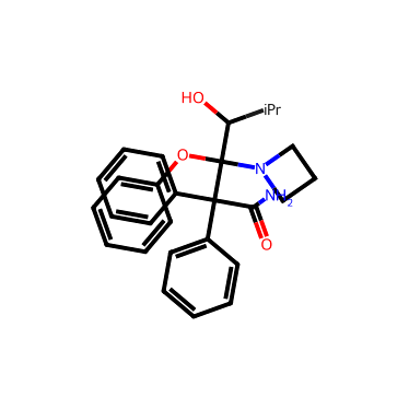 CC(C)C(O)C(Oc1ccccc1)(N1CCC1)C(C(N)=O)(c1ccccc1)c1ccccc1